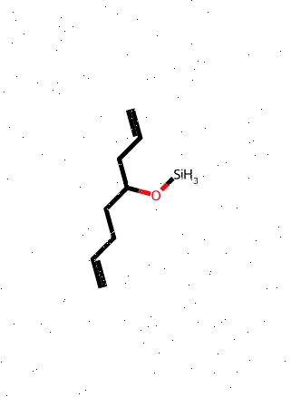 C=CCCC(CC=C)O[SiH3]